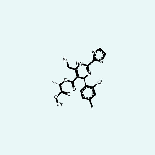 CC(C)OC(=O)[C@H](C)OC(=O)C1=C(CBr)NC(c2nccs2)=N[C@H]1c1ccc(F)cc1Cl